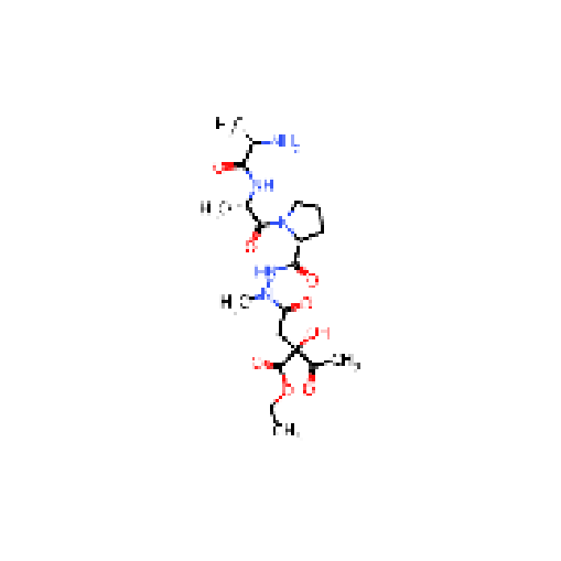 CCOC(=O)C(O)(CC(=O)N(C)NC(=O)[C@@H]1CCCN1C(=O)[C@H](C)NC(=O)[C@H](C)N)C(C)=O